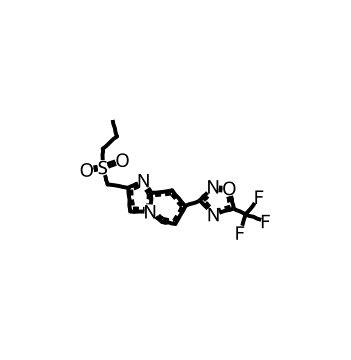 CCCS(=O)(=O)Cc1cn2ccc(-c3noc(C(F)(F)F)n3)cc2n1